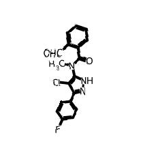 CN(C(=O)c1ccccc1C=O)c1[nH]nc(-c2ccc(F)cc2)c1Cl